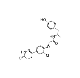 CC(Cc1ccc(O)cc1)NC(=O)COc1ccc(C2=NNC(=O)CC2)cc1Cl